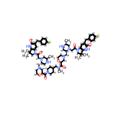 C[C@@H]1CN(CC(=O)N2CC(C)(C)c3[nH]c(=O)c(Cc4ccc(F)cc4)cc32)[C@@H](CN2CCOC(C(=O)N(C)CC3CCN(C(=O)C4CN(C[C@H]5CN[C@H](C)CN5CC(=O)N5CC(C)(C)c6[nH]c(=O)c(Cc7ccc(F)cc7)cc65)CCO4)CC3)C2)CN1